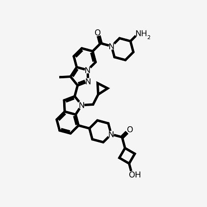 Cc1c(-c2cc3cccc(C4CCN(C(=O)C5CC(O)C5)CC4)c3n2CC2CC2)nn2cc(C(=O)N3CCCC(N)C3)ccc12